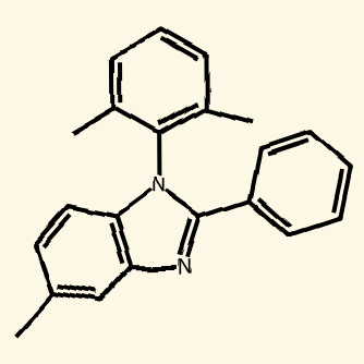 Cc1ccc2c(c1)nc(-c1ccccc1)n2-c1c(C)cccc1C